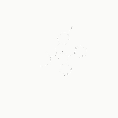 COC(=O)C(C)(Cc1ccc(F)cc1)N=C(c1ccccc1)c1ccccc1